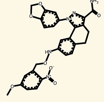 COc1ccc([N+](=O)[O-])c(CONc2ccc3c(c2)-c2c(c(C(N)=O)nn2-c2ccc4c(c2)OCO4)CC3)c1